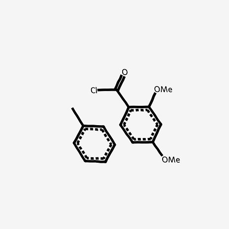 COc1ccc(C(=O)Cl)c(OC)c1.Cc1ccccc1